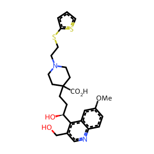 COc1ccc2ncc(CO)c([C@@H](O)CCC3(C(=O)O)CCN(CCSc4cccs4)CC3)c2c1